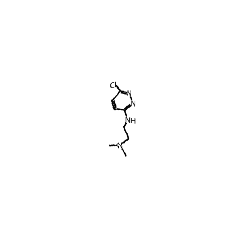 CN(C)CCNc1ccc(Cl)nn1